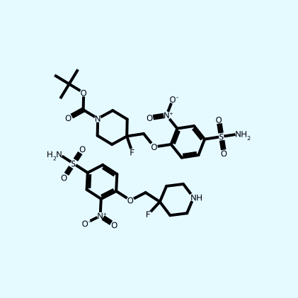 CC(C)(C)OC(=O)N1CCC(F)(COc2ccc(S(N)(=O)=O)cc2[N+](=O)[O-])CC1.NS(=O)(=O)c1ccc(OCC2(F)CCNCC2)c([N+](=O)[O-])c1